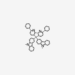 Cn1c2ccccc2c2cc(C3(c4ccc5c(c4)c4ccccc4n5C)c4ccc(-c5ccccc5)nc4-c4nc(-c5ccccc5)ccc43)ccc21